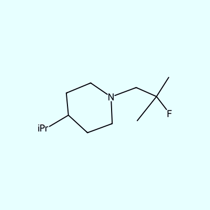 CC(C)C1CCN(CC(C)(C)F)CC1